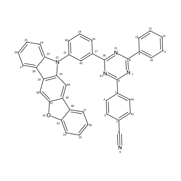 N#Cc1ccc(-c2nc(-c3ccccc3)nc(-c3cccc(-n4c5ccccc5c5cc6oc7ccccc7c6cc54)c3)n2)cc1